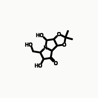 CC1(C)OC2C(O1)C1C(=O)C(O)C(CO)N1C2O